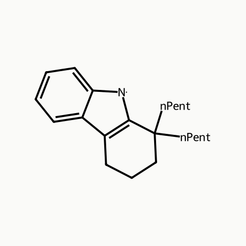 CCCCCC1(CCCCC)CCCC2=C1[N]c1ccccc12